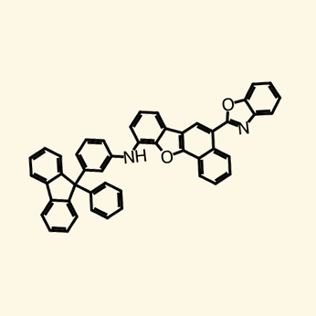 c1ccc(C2(c3cccc(Nc4cccc5c4oc4c6ccccc6c(-c6nc7ccccc7o6)cc54)c3)c3ccccc3-c3ccccc32)cc1